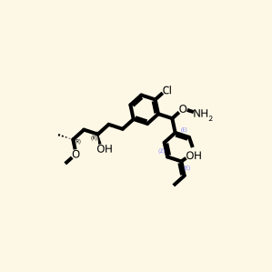 C\C=C(O)/C=C\C(=C/C)C(ON)c1cc(CC[C@@H](O)C[C@@H](C)OC)ccc1Cl